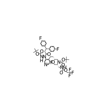 CC(C)(C)OC(=O)NN(C(=O)CC(c1ccc(F)cc1)c1ccc(F)cc1)c1cncc(F)c1CC[C@@H]1CN(C(=O)OC(C)(C)C)[C@H](CNC(=O)OCC(F)(F)F)CO1